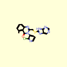 Cc1cccc2nc(CSc3nc4cncnc4[nH]3)n(-c3cccnc3Cl)c(=O)c12